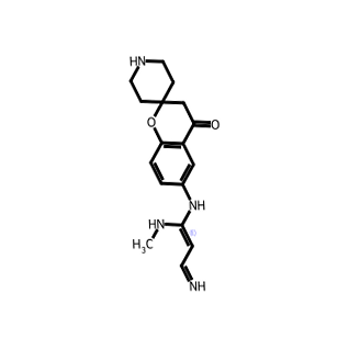 CN/C(=C\C=N)Nc1ccc2c(c1)C(=O)CC1(CCNCC1)O2